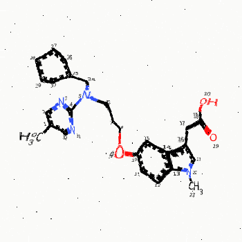 Cc1cnc(N(CCCOc2ccc3c(c2)c(CC(=O)O)cn3C)Cc2ccccc2)nc1